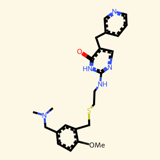 COc1ccc(CN(C)C)cc1CSCCNc1ncc(Cc2cccnc2)c(=O)[nH]1